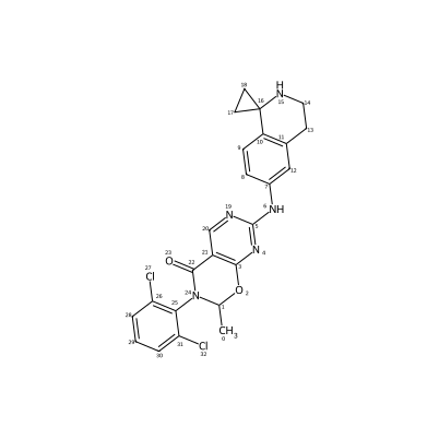 CC1Oc2nc(Nc3ccc4c(c3)CCNC43CC3)ncc2C(=O)N1c1c(Cl)cccc1Cl